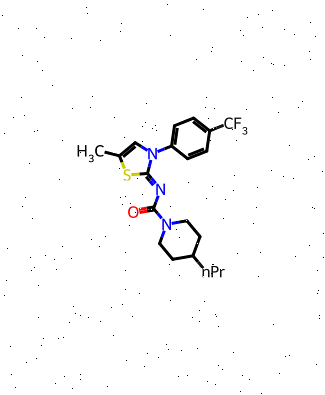 CCCC1CCN(C(=O)N=c2sc(C)cn2-c2ccc(C(F)(F)F)cc2)CC1